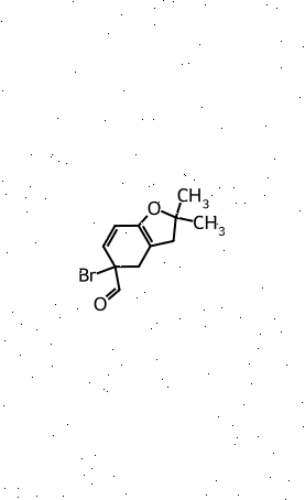 CC1(C)CC2=C(C=CC(Br)(C=O)C2)O1